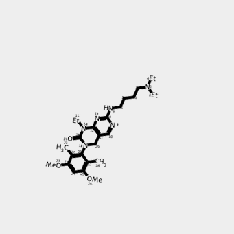 CCN(CC)CCCCNc1ncc2c(n1)N(CC)C(=O)N(c1c(C)c(OC)cc(OC)c1C)C2